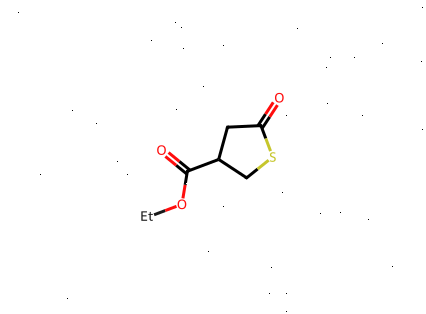 CCOC(=O)C1CSC(=O)C1